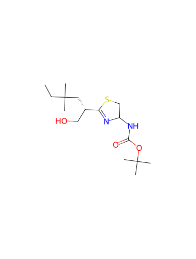 CCC(C)(C)C[C@@H](CO)C1=NC(NC(=O)OC(C)(C)C)CS1